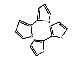 c1csc(-c2cccs2)c1.c1csc(-c2cccs2)c1